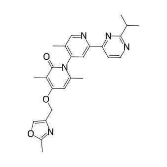 Cc1nc(COc2cc(C)n(-c3cc(-c4ccnc(C(C)C)n4)ncc3C)c(=O)c2C)co1